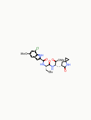 COC(=O)[C@H](C[C@@H]1CC2(CC2)NC1=O)NC(=O)[C@H](CC(C)(C)C)NC(=O)c1cc2cc(OC)cc(Cl)c2[nH]1